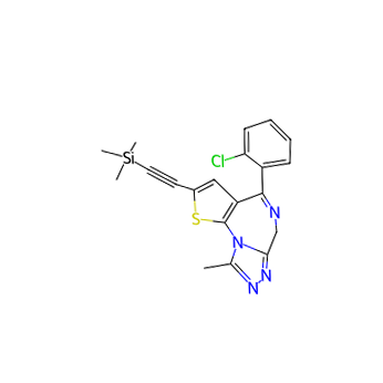 Cc1nnc2n1-c1sc(C#C[Si](C)(C)C)cc1C(c1ccccc1Cl)=NC2